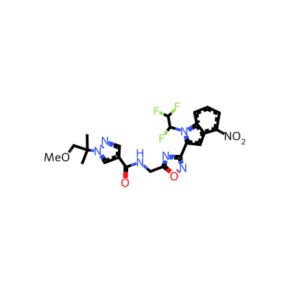 COCC(C)(C)n1cc(C(=O)NCc2nc(-c3cc4c([N+](=O)[O-])cccc4n3C(F)C(F)F)no2)cn1